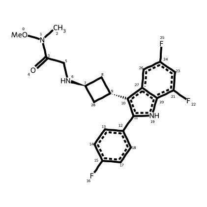 CON(C)C(=O)CN[C@H]1C[C@H](c2c(-c3ccc(F)cc3)[nH]c3c(F)cc(F)cc32)C1